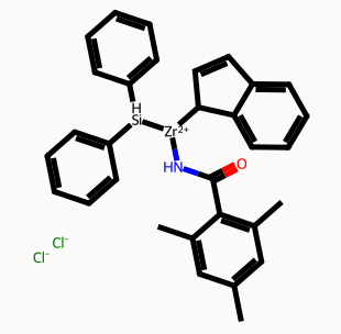 Cc1cc(C)c(C(=O)[NH][Zr+2]([CH]2C=Cc3ccccc32)[SiH](c2ccccc2)c2ccccc2)c(C)c1.[Cl-].[Cl-]